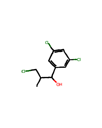 CC(CCl)C(O)c1cc(Cl)cc(Cl)c1